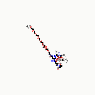 COCCOCCOCCOCCOCCOCCOCCOCCNC(=O)CCC(NC(=O)CCCN1C(=O)C=CC1=O)C(=O)NC(C)C(=O)NC(C)C(=O)OC(C)(C)C